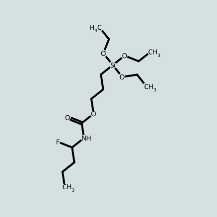 CCCC(F)NC(=O)OCCC[Si](OCC)(OCC)OCC